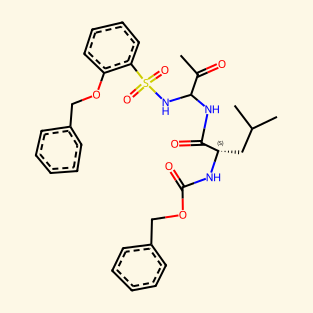 CC(=O)C(NC(=O)[C@H](CC(C)C)NC(=O)OCc1ccccc1)NS(=O)(=O)c1ccccc1OCc1ccccc1